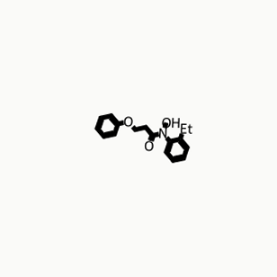 CCc1ccccc1N(O)C(=O)CCOc1ccccc1